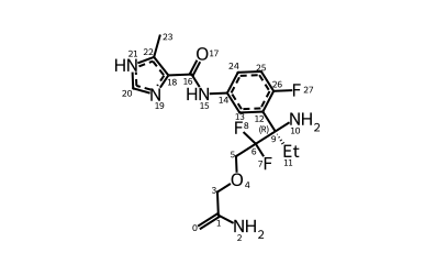 C=C(N)COCC(F)(F)[C@@](N)(CC)c1cc(NC(=O)c2nc[nH]c2C)ccc1F